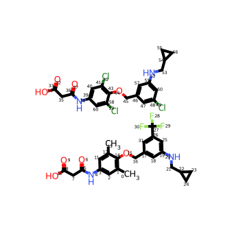 Cc1cc(NC(=O)CC(=O)O)cc(C)c1OCc1cc(NCC2CC2)cc(C(F)(F)F)c1.O=C(O)CC(=O)Nc1cc(Cl)c(OCc2cc(Cl)cc(NCC3CC3)c2)c(Cl)c1